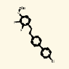 CCCCOc1ccc(CCc2ccc(-c3ccc(CC)cc3)cc2)c(F)c1F